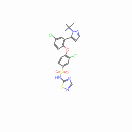 CC(C)(C)n1nccc1-c1cc(Cl)ccc1Oc1ccc(S(=O)(=O)Nc2ncns2)cc1Cl